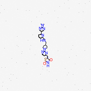 CN(C)c1ncc(-c2cccc(CNCC3CCN(c4nccc(/C=C5\SC(=O)NC5=O)n4)CC3)n2)cn1